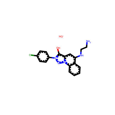 NCCNc1cc2c(O)n(-c3ccc(Cl)cc3)n[n+]2c2ccccc12.[OH-]